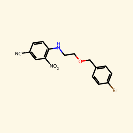 N#Cc1ccc(NCCOCc2ccc(Br)cc2)c([N+](=O)[O-])c1